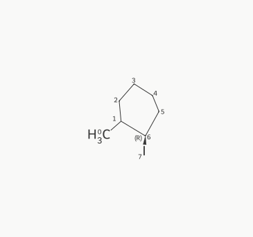 CC1CCCC[C@H]1I